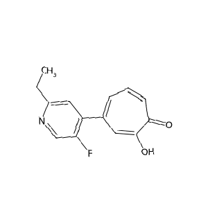 CCc1cc(-c2cccc(=O)c(O)c2)c(F)cn1